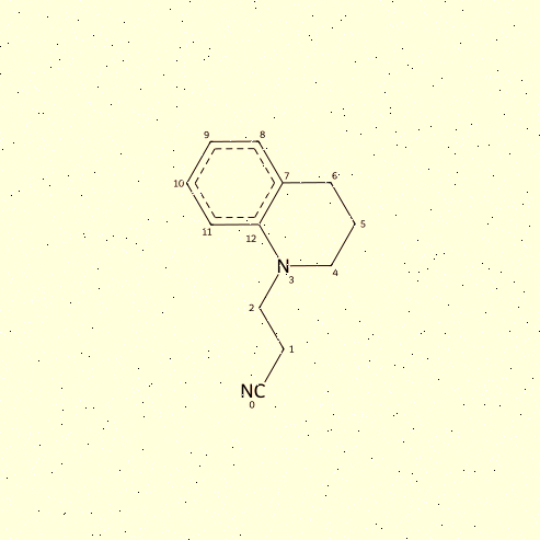 N#CCCN1CCCc2ccccc21